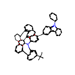 CC(C)(C)c1ccc(-c2ccccc2)c(N(c2ccc(-c3ccc4c(c3)c3ccccc3n4-c3ccccc3)cc2)c2ccccc2-c2cccc3cccc(C4CCCCC4)c23)c1